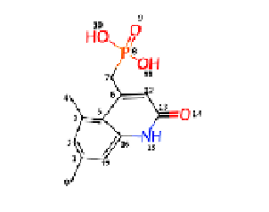 Cc1cc(C)c2c(CP(=O)(O)O)cc(=O)[nH]c2c1